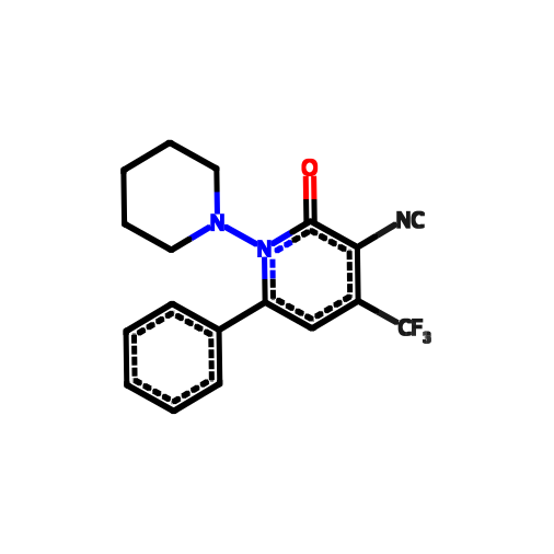 [C-]#[N+]c1c(C(F)(F)F)cc(-c2ccccc2)n(N2CCCCC2)c1=O